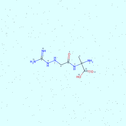 CC(N)(NC(=O)CNNC(=N)N)C(=O)O